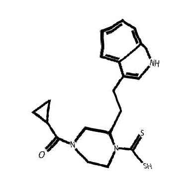 O=C(C1CC1)N1CCN(C(=S)S)C(CCc2c[nH]c3ccccc23)C1